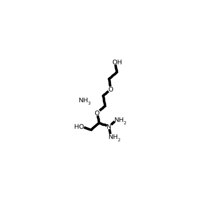 N.NN(N)C(CO)OCCOCCO